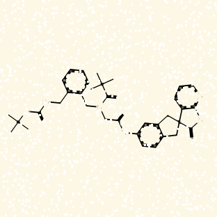 CC(C)(C)OC(=O)NCc1ccccc1CN(CC(=O)Nc1ccc2c(c1)CC1(C2)C(=O)Nc2ncccc21)C(=O)C(C)(C)C